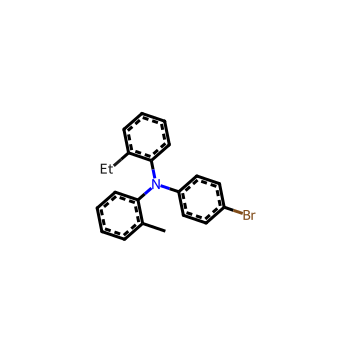 CCc1ccccc1N(c1ccc(Br)cc1)c1ccccc1C